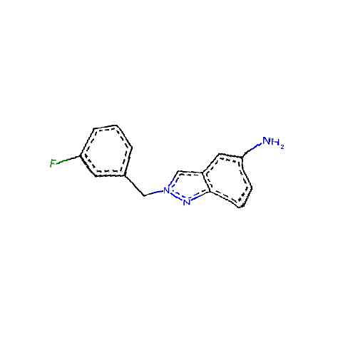 Nc1ccc2nn(Cc3cccc(F)c3)cc2c1